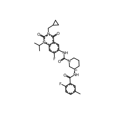 Cc1ccc(F)c(C(=O)N[C@@H]2CCCN(C(=O)Nc3cc4c(=O)n(CC5CC5)c(=O)n(C(C)C)c4cc3F)C2)c1